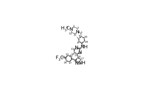 CN1CCN(Cc2ccc(Nc3nccc(-c4c[nH]nc4-c4ccc(C(F)(F)F)cc4)n3)cc2)CC1